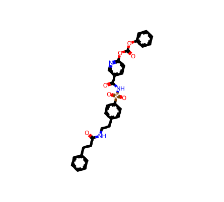 O=C(CCc1ccccc1)NCCc1ccc(S(=O)(=O)NC(=O)c2ccc(OC(=O)Oc3ccccc3)nc2)cc1